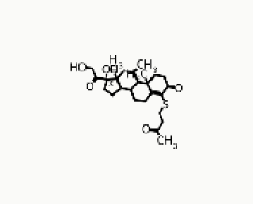 CC(=O)CCSC1=C2CCC3C(C(C)CC4(C)C3CC[C@]4(O)C(=O)CO)C2(C)CCC1=O